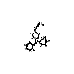 CCON1CCN(Cc2ccccc2)CC1.c1ccncc1